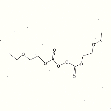 CCOCCOC(=O)OOC(=O)OCCOCC